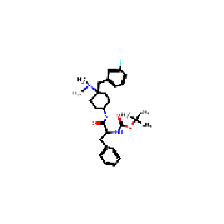 CN(C)C1(Cc2cccc(F)c2)CCC(NC(=O)C(Cc2ccccc2)NC(=O)OC(C)(C)C)CC1